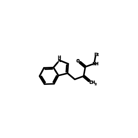 C=C(Cc1c[nH]c2ccccc12)C(=O)NCC